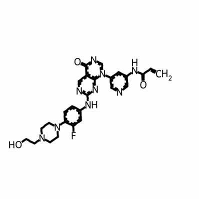 C=CC(=O)Nc1cncc(-n2cnc(=O)c3cnc(Nc4ccc(N5CCN(CCO)CC5)c(F)c4)nc32)c1